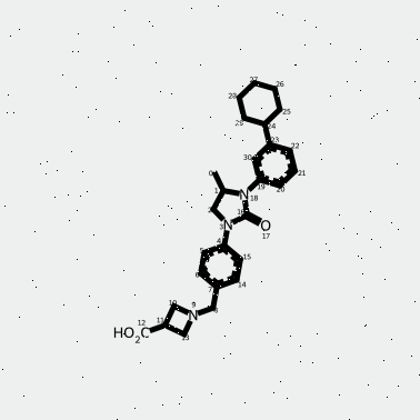 CC1CN(c2ccc(CN3CC(C(=O)O)C3)cc2)C(=O)N1c1cccc(C2CCCCC2)c1